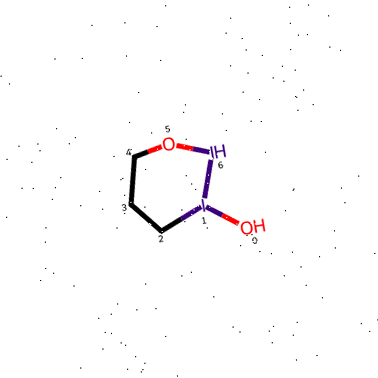 OI1CCCO[IH]1